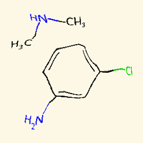 CNC.Nc1cccc(Cl)c1